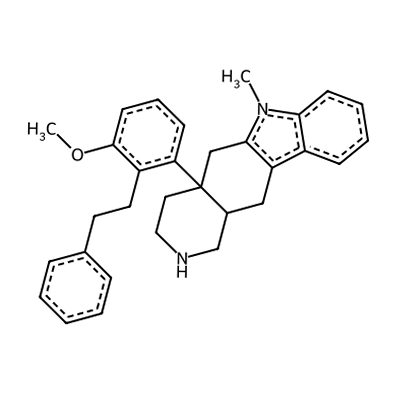 COc1cccc(C23CCNCC2Cc2c(n(C)c4ccccc24)C3)c1CCc1ccccc1